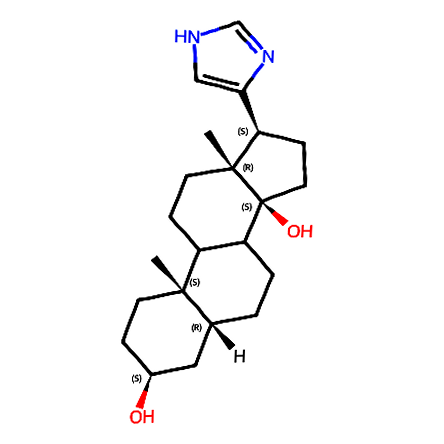 C[C@]12CC[C@H](O)C[C@H]1CCC1C2CC[C@]2(C)[C@@H](c3c[nH]cn3)CC[C@]12O